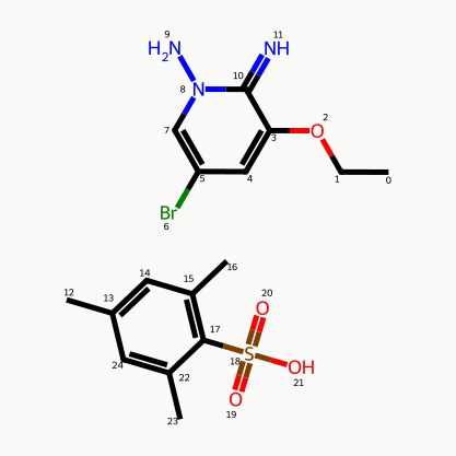 CCOc1cc(Br)cn(N)c1=N.Cc1cc(C)c(S(=O)(=O)O)c(C)c1